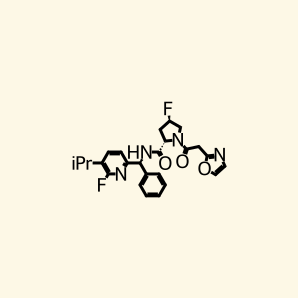 CC(C)c1ccc([C@@H](NC(=O)[C@@H]2C[C@@H](F)CN2C(=O)Cc2ncco2)c2ccccc2)nc1F